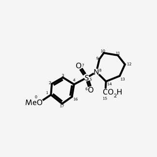 COc1ccc(S(=O)(=O)N2CCCCCC2C(=O)O)cc1